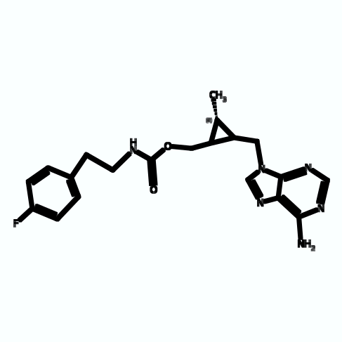 C[C@H]1C(COC(=O)NCCc2ccc(F)cc2)C1Cn1cnc2c(N)ncnc21